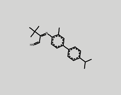 Cc1cc(-c2ccc(C(C)C)cc2)ccc1/N=C(\C=N)C(C)(C)C